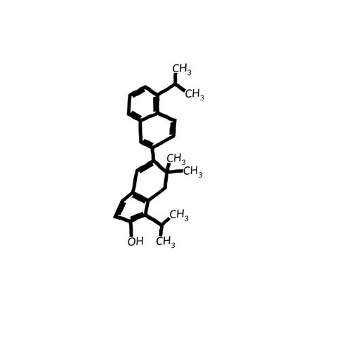 CC(C)c1c(O)ccc2c1CC(C)(C)C(c1ccc3c(C(C)C)cccc3c1)=C2